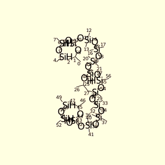 CC1C[SiH](C)O[SiH](C)O[SiH](O[Si](C)(C)O[Si](C)(C)O[Si](C)(C)O[SiH]2OC(C)C[Si](C)(O[Si](C)(C)O[Si](C)(C)O[Si](C)(C)O[SiH]3OC(C)C[SiH](C)O[SiH](C)O3)O[SiH](C)O2)O1